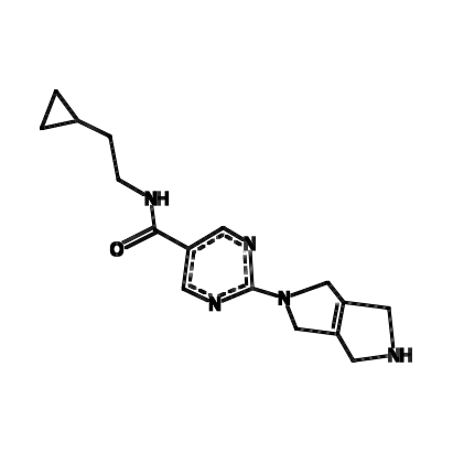 O=C(NCCC1CC1)c1cnc(N2CC3=C(CNC3)C2)nc1